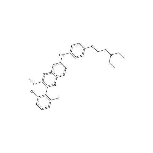 CCN(CC)CCOc1ccc(Nc2cc3nc(OC)c(-c4c(Cl)cccc4Cl)nc3cn2)cc1